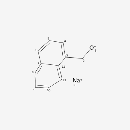 [Na+].[O-]Cc1cccc2ccccc12